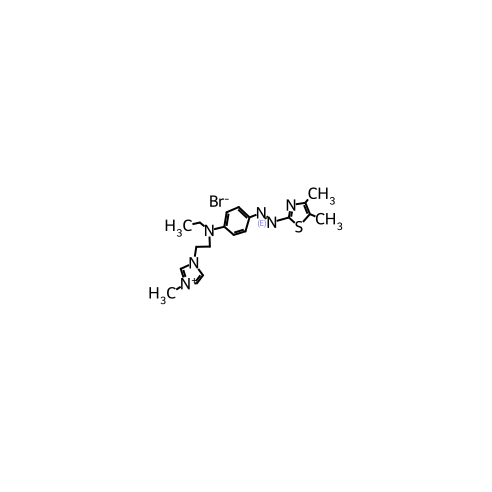 CCN(CCn1cc[n+](C)c1)c1ccc(/N=N/c2nc(C)c(C)s2)cc1.[Br-]